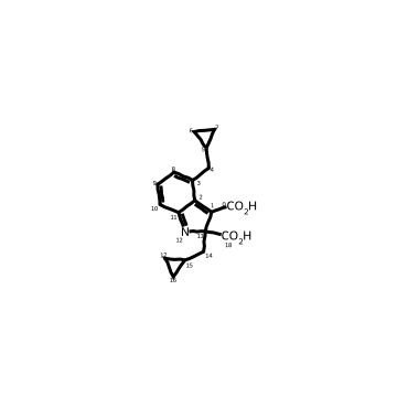 O=C(O)C1=c2c(CC3CC3)cccc2=NC1(CC1CC1)C(=O)O